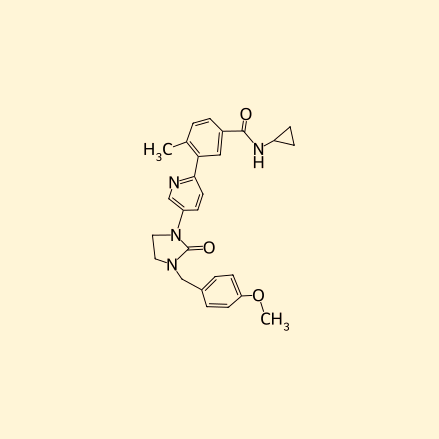 COc1ccc(CN2CCN(c3ccc(-c4cc(C(=O)NC5CC5)ccc4C)nc3)C2=O)cc1